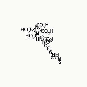 O=C(O)CN1CCN(CC(=O)O)CCN(C(CCC(=O)NCCN(CCOCCOCCOCCNC(=O)c2ccc(N=C=S)cc2)C(=O)c2cccc(=O)n2O)C(=O)O)CCN(CC(=O)O)CC1